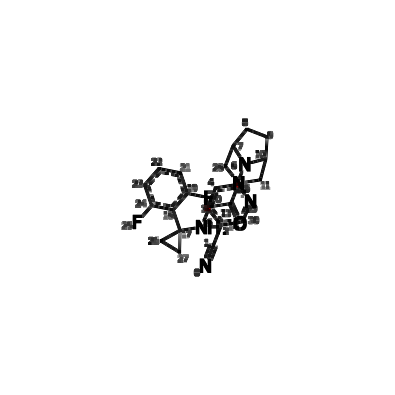 N#Cc1ccc(N2C3CCC2CN(C(=O)CNC2(c4c(F)cccc4F)CC2)C3)nc1